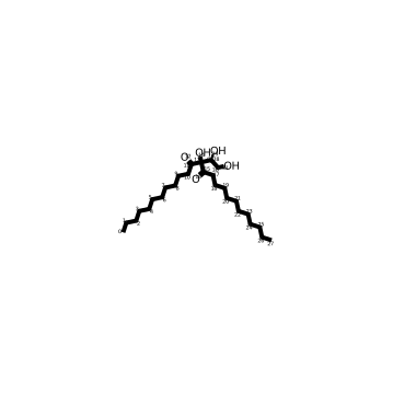 CCCCCCCCCCCC(=O)C(O)(C(=O)CCCCCCCCCCC)[C@@H](O)CO